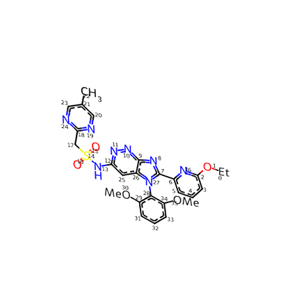 CCOc1cccc(-c2nc3nnc(NS(=O)(=O)Cc4ncc(C)cn4)cc3n2-c2c(OC)cccc2OC)n1